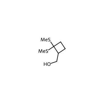 CSC1(SC)CCC1CO